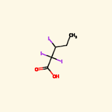 CCC(I)C(I)(I)C(=O)O